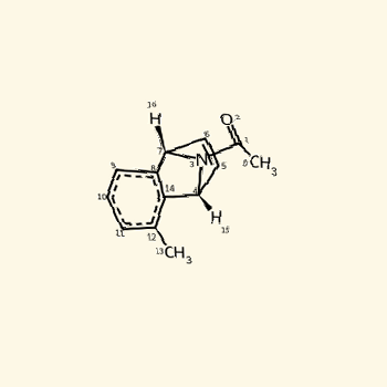 CC(=O)N1[C@@H]2C=C[C@H]1c1cccc(C)c12